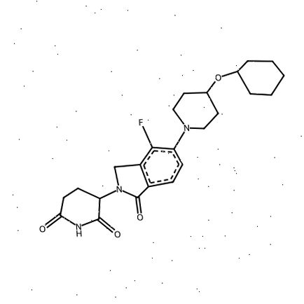 O=C1CCC(N2Cc3c(ccc(N4CCC(OC5CCCCC5)CC4)c3F)C2=O)C(=O)N1